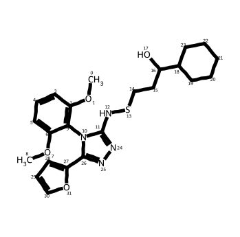 COc1cccc(OC)c1-n1c(NSCCC(O)C2CCCCC2)nnc1-c1ccco1